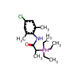 CC[PH](CC)(CC)C(C)C(=O)Nc1c(C)cc(Cl)cc1C